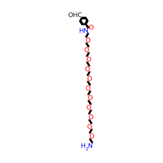 NCCOCCOCCOCCOCCOCCOCCOCCOCCOCCOCCOCCNC(=O)c1ccc(C=O)cc1